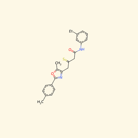 CCc1cccc(NC(=O)CC(=S)Cc2nc(-c3ccc(C)cc3)oc2C)c1